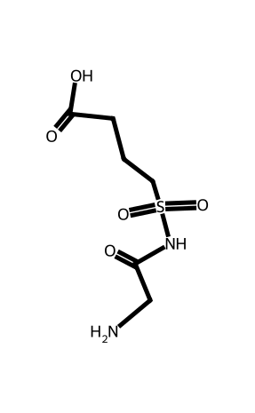 NCC(=O)NS(=O)(=O)CCCC(=O)O